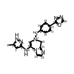 Cc1cc(NC2=CN(Sc3ccc(-c4nnco4)cc3)CC3=NC=C[N+]23)n[nH]1